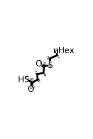 CCCCCCCCSC(=O)CCCC(=O)S